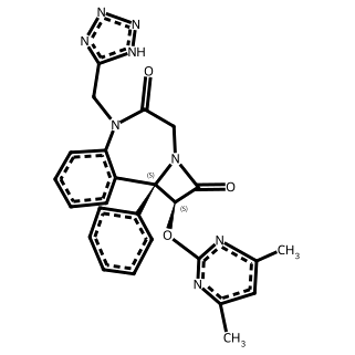 Cc1cc(C)nc(O[C@@H]2C(=O)N3CC(=O)N(Cc4nnn[nH]4)c4ccccc4[C@@]23c2ccccc2)n1